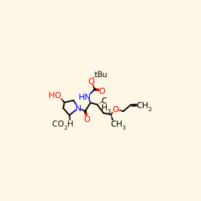 C=CCO[C@@H](C)C[C@@H](C)[C@H](NC(=O)OC(C)(C)C)C(=O)N1CC(O)CC1C(=O)O